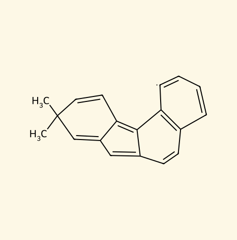 CC1(C)C=CC2=c3c(ccc4ccc[c]c34)=CC2=C1